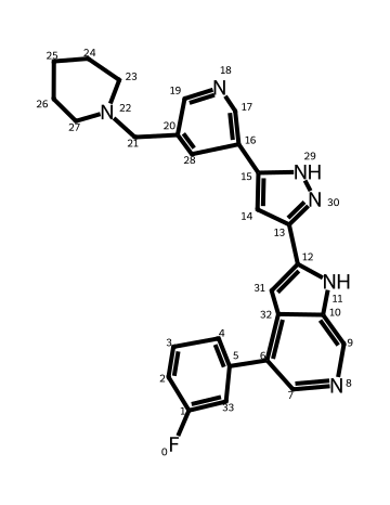 Fc1cccc(-c2cncc3[nH]c(-c4cc(-c5cncc(CN6CCCCC6)c5)[nH]n4)cc23)c1